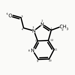 Cc1nn(CC=O)c2ncccc12